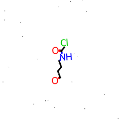 O=CCCCNC(=O)CCl